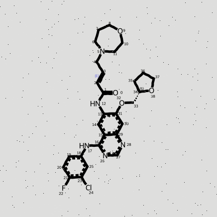 O=C(/C=C/CN1CCCOCC1)Nc1cc2c(Nc3ccc(F)c(Cl)c3)ncnc2cc1OC[C@@H]1CCCO1